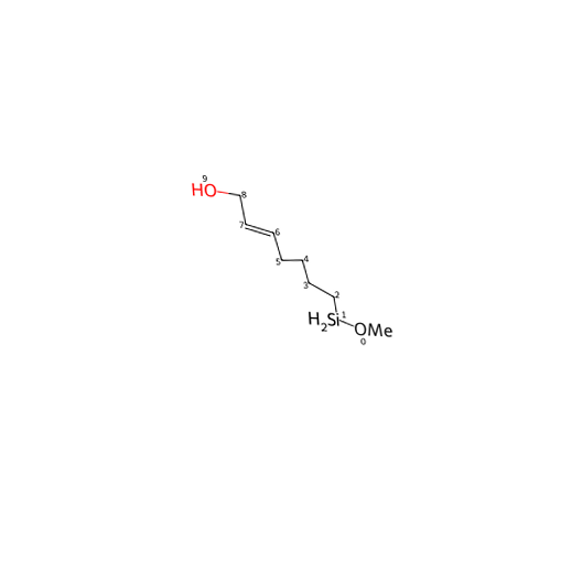 CO[SiH2]CCCCC=CCO